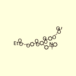 C=CC(=O)OCCCOc1ccc(C(=O)Oc2ccc(OC(=O)c3ccc(OCCCOC(=O)CC)cc3)cc2-c2cccc(-c3c(C)c4ccccc4n3C)c2)cc1